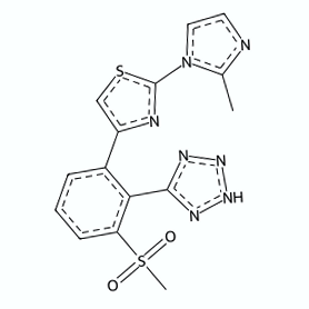 Cc1nccn1-c1nc(-c2cccc(S(C)(=O)=O)c2-c2nn[nH]n2)cs1